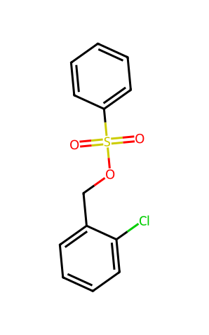 O=S(=O)(OCc1ccccc1Cl)c1ccccc1